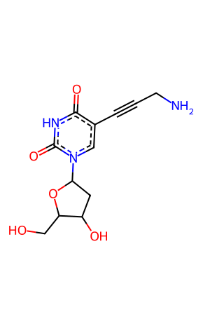 NCC#Cc1cn(C2CC(O)C(CO)O2)c(=O)[nH]c1=O